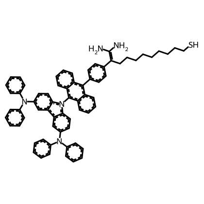 NC(N)=C(CCCCCCCCCS)c1ccc(-c2c3ccccc3c(-n3c4ccc(N(c5ccccc5)c5ccccc5)cc4c4cc(N(c5ccccc5)c5ccccc5)ccc43)c3ccccc23)cc1